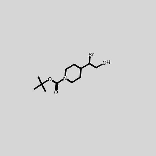 CC(C)(C)OC(=O)N1CCC(C(Br)CO)CC1